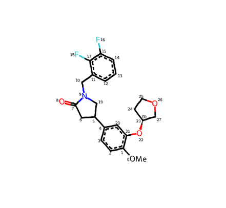 COc1ccc(C2CC(=O)N(Cc3cccc(F)c3F)C2)cc1O[C@H]1CCOC1